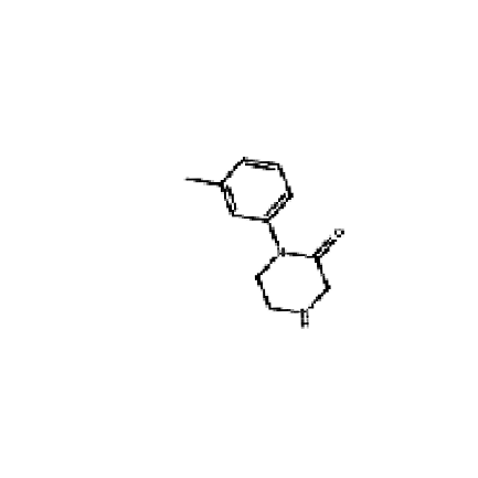 Cc1cccc(N2CCNCC2=O)c1